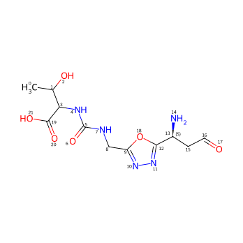 CC(O)C(NC(=O)NCc1nnc([C@@H](N)CC=O)o1)C(=O)O